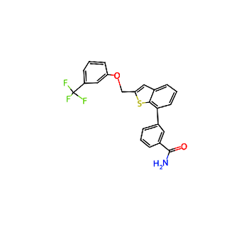 NC(=O)c1cccc(-c2cccc3cc(COc4cccc(C(F)(F)F)c4)sc23)c1